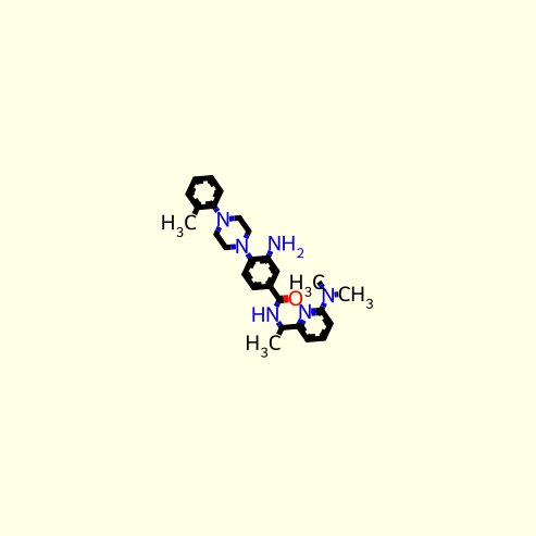 Cc1ccccc1N1CCN(c2ccc(C(=O)NC(C)c3cccc(N(C)C)n3)cc2N)CC1